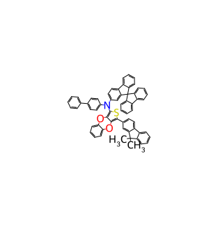 CC1(C)c2ccccc2-c2ccc(-c3sc(N(c4ccc(-c5ccccc5)cc4)c4ccc5c(c4)C4(c6ccccc6-c6ccccc64)c4ccccc4-5)c4c3Oc3ccccc3O4)cc21